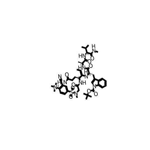 CC=C(N[C@@H](Cc1cn(C(=O)OC(C)(C)C)c2ccccc12)C(=O)N[C@@H](C)C(=O)N[C@H](C(=O)NC)C(C)C)[C@H](CCC(N)=O)NC(=O)CN(C)S(=O)(=O)c1ccc([N+](C)(C)C)c(C#N)c1